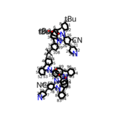 CC(C)(C)c1ccc2c(c1)c1cc(C(C)(C)C)ccc1n2-c1cc(C#N)c(-c2ccncc2)cc1-n1c2ccc(C(C)(C)C)cc2c2cc(C(C)(C)Cc3ccc4c(c3)c3ccccc3n4-c3ccc4c5ccccc5n(-c5cc(C#N)c(-c6ccncc6)cc5-n5c6ccccc6c6ccc(-n7c8ccccc8c8ccccc87)cc65)c4c3)ccc21